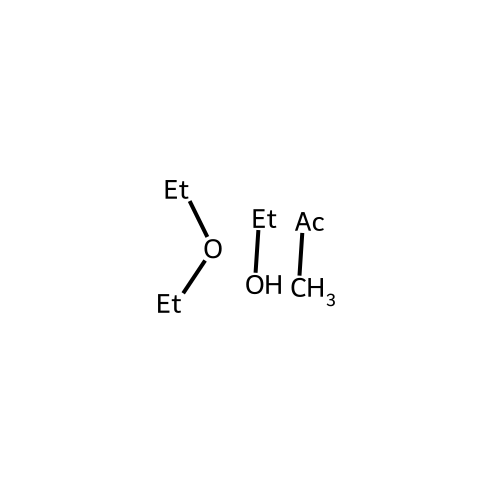 CC(C)=O.CCO.CCOCC